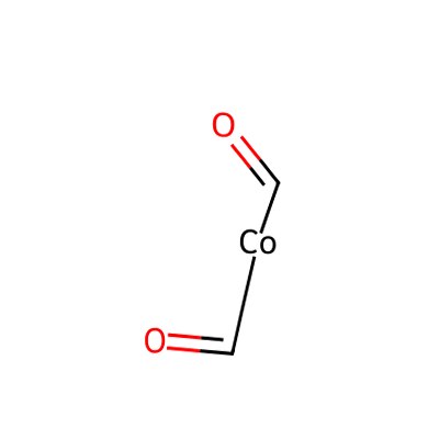 O=[CH][Co][CH]=O